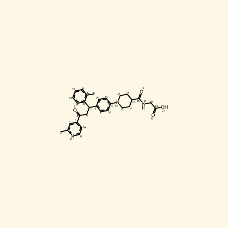 Cc1cc(C(=O)CC(c2ccc(N3CCC(C(=O)NCC(=O)O)CC3)cc2)c2ccccc2C)ccn1